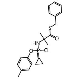 Cc1ccc(OP(Cl)(NC(C)(C)C(=O)SCc2ccccc2)=C2CC2)cc1